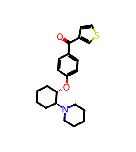 O=C(c1ccc(O[C@H]2CCCC[C@@H]2N2CCCCC2)cc1)c1ccsc1